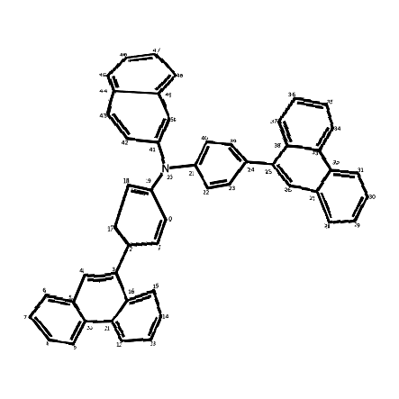 C1=CC(c2cc3ccccc3c3ccccc23)CC=C1N(c1ccc(-c2cc3ccccc3c3ccccc23)cc1)c1ccc2ccccc2c1